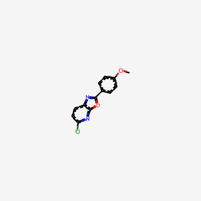 COc1ccc(-c2nc3ccc(Cl)nc3o2)cc1